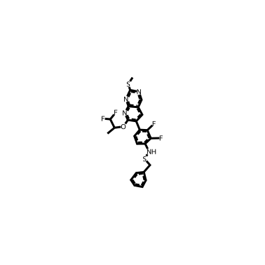 CSc1ncc2cc(-c3ccc(NSCc4ccccc4)c(F)c3F)c(OC(C)C(F)F)nc2n1